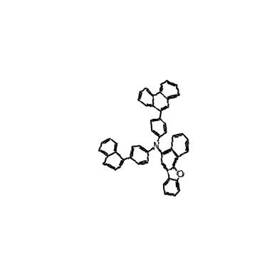 c1ccc2c(-c3ccc(N(c4ccc(-c5cc6ccccc6c6ccccc56)cc4)c4cc5c6ccccc6oc5c5ccccc45)cc3)cccc2c1